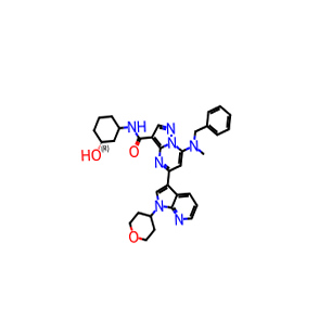 CN(Cc1ccccc1)c1cc(-c2cn(C3CCOCC3)c3ncccc23)nc2c(C(=O)NC3CCC[C@@H](O)C3)cnn12